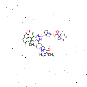 CCc1c(F)ccc2cc(O)cc(-c3c(F)cc4c(C5CCCn6nc(C(=O)N(C)C)cc6C5)nc(OC[C@]56CCCN5[C@H](COC(=O)N(C)C)CC6)nc4c3F)c12